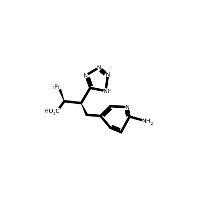 CC(C)[C@H](C(=O)O)[C@H](Cc1ccc(N)nc1)c1nnn[nH]1